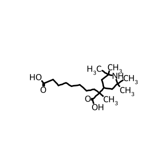 CC1(C)CC(C(C)(CCCCCCCC(=O)O)C(=O)O)CC(C)(C)N1